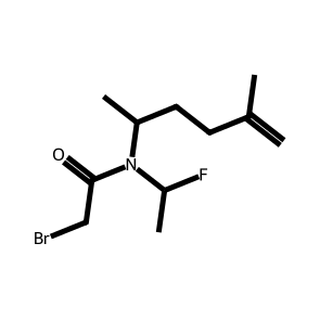 C=C(C)CCC(C)N(C(=O)CBr)C(C)F